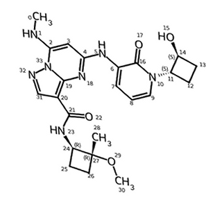 CNc1cc(Nc2cccn([C@H]3CC[C@@H]3O)c2=O)nc2c(C(=O)N[C@@H]3CC[C@@]3(C)OC)cnn12